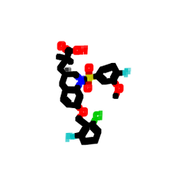 COc1cc(S(=O)(=O)N2C[C@H](CC(C)(C)C(=O)O)Cc3ccc(OCc4c(F)cccc4Cl)cc32)ccc1F